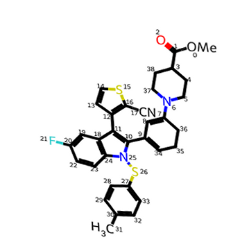 COC(=O)C1CCN(C2=CC(c3c(-c4ccsc4C#N)c4cc(F)ccc4n3Sc3ccc(C)cc3)=CCC2)CC1